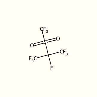 O=S(=O)(C(F)(F)F)C(F)(C(F)(F)F)C(F)(F)F